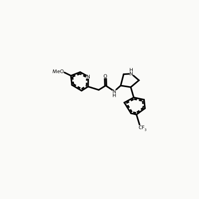 COc1ccc(CC(=O)NC2CNCC2c2ccc(C(F)(F)F)cc2)nc1